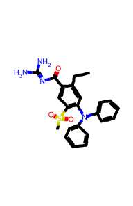 CCc1cc(N(c2ccccc2)c2ccccc2)c(S(C)(=O)=O)cc1C(=O)N=C(N)N